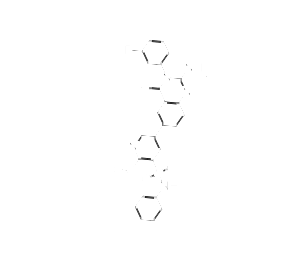 COc1ncc(-c2ccc3nc(N)n(-c4cccc(F)c4)c(=O)c3c2)cc1S(=O)(=O)Nc1ccccc1